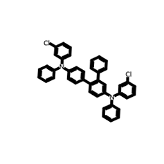 Clc1cccc(N(c2ccccc2)c2ccc(-c3ccc(N(c4ccccc4)c4cccc(Cl)c4)cc3-c3ccccc3)cc2)c1